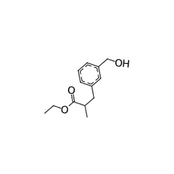 CCOC(=O)C(C)Cc1cccc(CO)c1